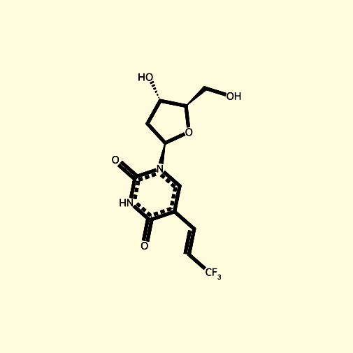 O=c1[nH]c(=O)n([C@H]2C[C@H](O)[C@@H](CO)O2)cc1/C=C/C(F)(F)F